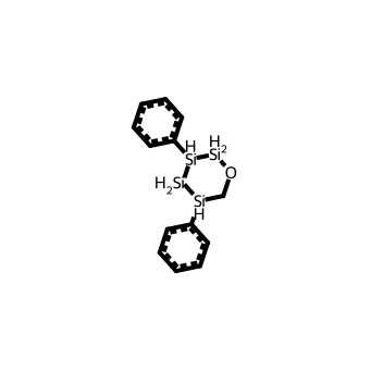 c1ccc([SiH]2CO[SiH2][SiH](c3ccccc3)[SiH2]2)cc1